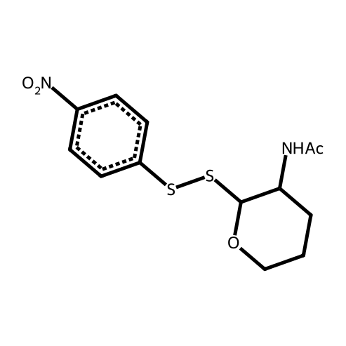 CC(=O)NC1CCCOC1SSc1ccc([N+](=O)[O-])cc1